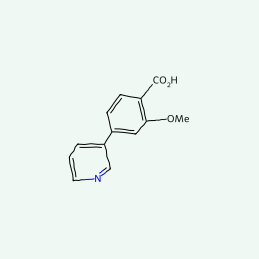 COc1cc(-c2cccnc2)ccc1C(=O)O